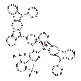 N#Cc1ccc(-n2c3ccccc3c3cc4c5ccccc5n(-c5ccccc5)c4cc32)cc1-c1cc(-c2c(C(F)(F)F)cccc2C(F)(F)F)ccc1-n1c2ccccc2c2cc3c4ccccc4n(-c4ccccc4)c3cc21